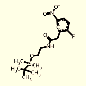 CC(C)(C)[Si](C)(C)OCCNC(=O)Cc1cc([N+](=O)[O-])ccc1F